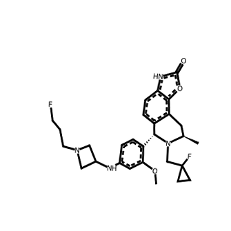 COc1cc(NC2CN(CCCF)C2)ccc1[C@@H]1c2ccc3[nH]c(=O)oc3c2C[C@@H](C)N1CC1(F)CC1